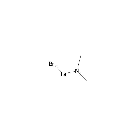 C[N](C)[Ta][Br]